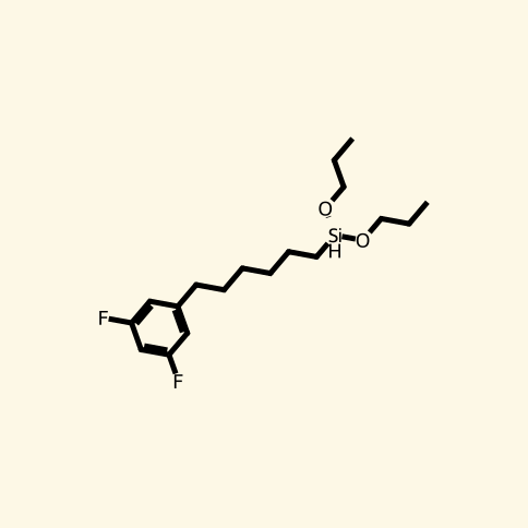 CCCO[SiH](CCCCCCc1cc(F)cc(F)c1)OCCC